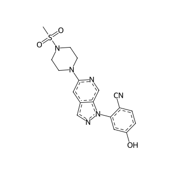 CS(=O)(=O)N1CCN(c2cc3cnn(-c4cc(O)ccc4C#N)c3cn2)CC1